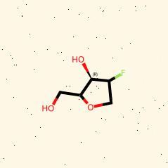 OCC1OCC(F)[C@@H]1O